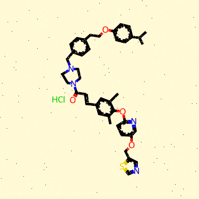 Cc1cc(C=CC(=O)N2CCN(Cc3ccc(CCOc4ccc(C(C)C)cc4)cc3)CC2)cc(C)c1Oc1ccc(OCc2cncs2)cn1.Cl